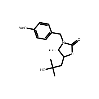 COc1ccc(CN2C(=O)OC(CC(C)(C)O)[C@@H]2C)cc1